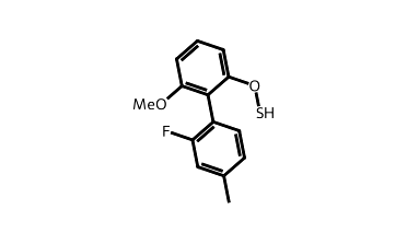 COc1cccc(OS)c1-c1ccc(C)cc1F